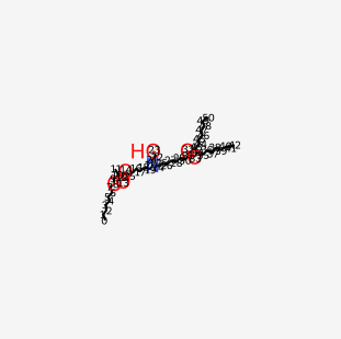 CCCCCCCCOCC(C)C(=O)OCCCCCN(CCO)CCCCCCCC(=O)OC(CCCCCCCC)CCCCCCCC